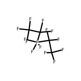 FC(F)(F)C(F)(F)P(F)(F)(F)C(F)(F)C(F)(F)F